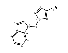 CCCc1ccn(Cn2cnc3ccccc32)c1